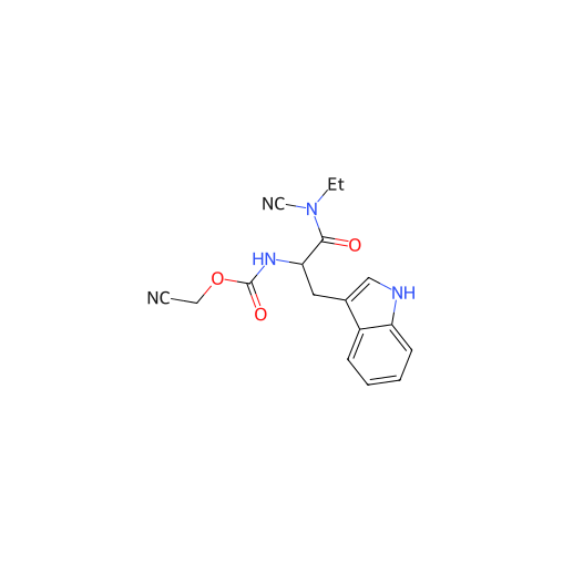 CCN(C#N)C(=O)C(Cc1c[nH]c2ccccc12)NC(=O)OCC#N